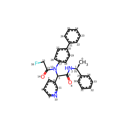 C[C@H](NC(=O)C(c1cccnc1)N(C(=O)CF)c1ccc(-c2ccccc2)cc1)c1ccccc1